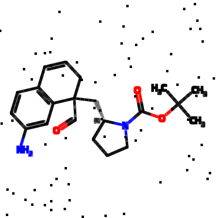 CC(C)(C)OC(=O)N1CCC[C@@H]1CC1(C=O)CC=Cc2ccc(N)cc21